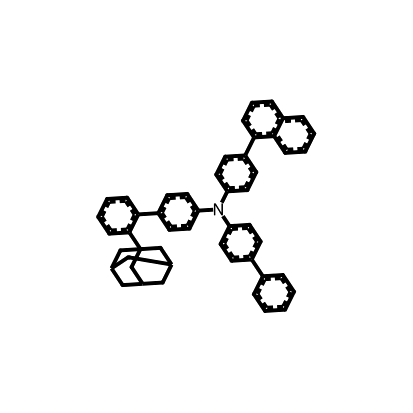 c1ccc(-c2ccc(N(c3ccc(-c4ccccc4C45CC6CC(CC(C6)C4)C5)cc3)c3ccc(-c4cccc5ccccc45)cc3)cc2)cc1